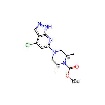 C[C@@H]1CN(c2cc(Cl)c3cn[nH]c3n2)C[C@@H](C)N1C(=O)OC(C)(C)C